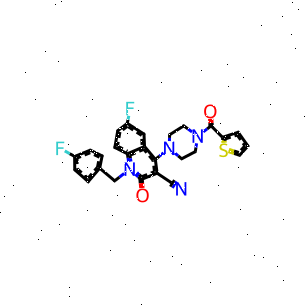 N#Cc1c(N2CCN(C(=O)c3cccs3)CC2)c2cc(F)ccc2n(Cc2ccc(F)cc2)c1=O